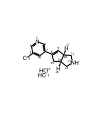 Cl.Cl.Clc1cncc(C2=C[C@@H]3CNC[C@@H]3C2)c1